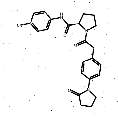 O=C(Nc1ccc(Cl)cc1)[C@H]1CCCN1C(=O)Cc1ccc(N2CCCC2=O)cc1